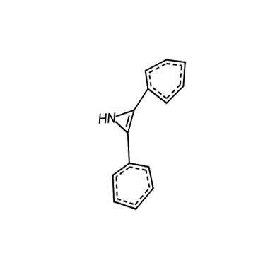 c1ccc(C2=C(c3ccccc3)N2)cc1